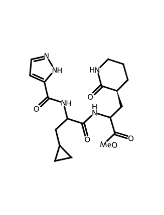 COC(=O)C(C[C@@H]1CCCNC1=O)NC(=O)C(CC1CC1)NC(=O)c1ccn[nH]1